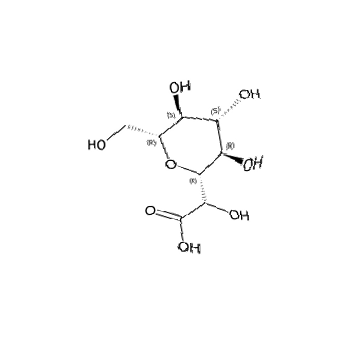 O=C(O)C(O)[C@@H]1O[C@H](CO)[C@@H](O)[C@H](O)[C@H]1O